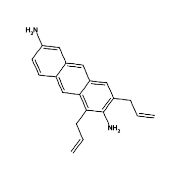 C=CCc1cc2cc3cc(N)ccc3cc2c(CC=C)c1N